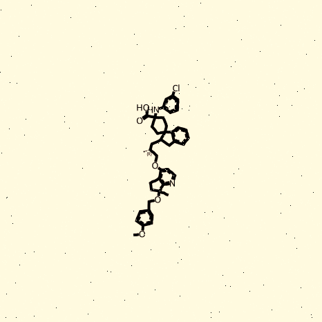 COc1ccc(COC2(C)CCc3c(OC[C@H](C)CC4Cc5ccccc5C45CCC(Nc4cccc(Cl)c4)(C(=O)O)CC5)ccnc32)cc1